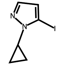 Ic1ccnn1C1CC1